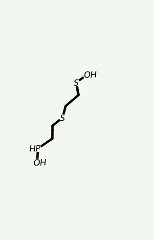 OPCCSCCSO